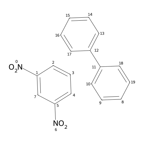 O=[N+]([O-])c1cccc([N+](=O)[O-])c1.c1ccc(-c2ccccc2)cc1